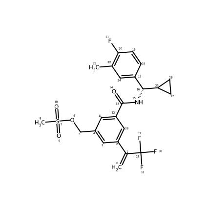 C=C(c1cc(COS(C)(=O)=O)cc(C(=O)N[C@H](c2ccc(F)c(C)c2)C2CC2)c1)C(F)(F)F